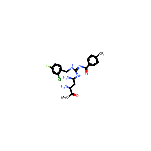 COC(=O)C(N)CC(N)N/C(=N\C(=O)c1ccc(C(F)(F)F)cc1)NCc1ccc(F)cc1Cl